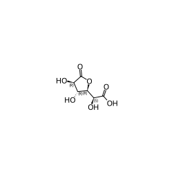 O=C(O)[C@@H](O)[C@@H]1OC(=O)[C@H](O)[C@H]1O